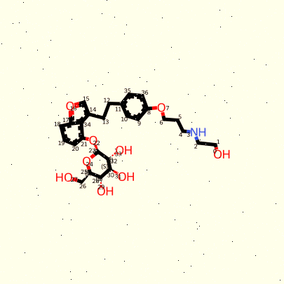 OCCNCCCOc1ccc(CCc2coc3cccc(O[C@@H]4O[C@H](CO)[C@@H](O)[C@H](O)[C@H]4O)c23)cc1